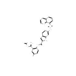 Cn1c(C(=O)Nc2ccc(Cl)cc2-c2noc(=O)[nH]2)cc2ccc(NS(=O)(=O)c3cccc4cccnc34)cc21